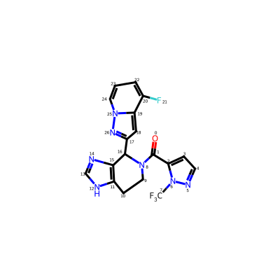 O=C(c1ccnn1C(F)(F)F)N1CCc2[nH]cnc2C1c1cc2c(F)cccn2n1